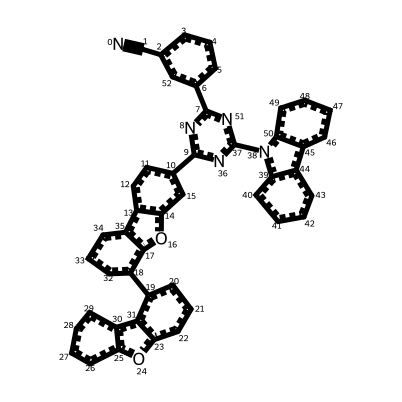 N#Cc1cccc(-c2nc(-c3ccc4c(c3)oc3c(-c5cccc6oc7ccccc7c56)cccc34)nc(-n3c4ccccc4c4ccccc43)n2)c1